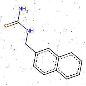 NC(=S)NCc1ccc2ccccc2c1